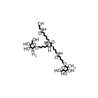 C#CCNC(=O)CCCCCNC(=O)[C@@H](CCCCNC(=O)CCCCOC1OC(CO)C(O)C(O)C1C)NC(=O)CCCCOC1OC(CO)C(O)C(O)C1N